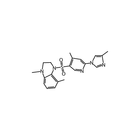 Cc1cn(-c2cc(C)c(S(=O)(=O)N3CCN(C)c4cccc(C)c43)cn2)cn1